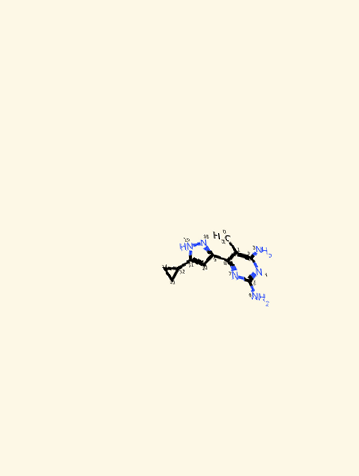 Cc1c(N)nc(N)nc1-c1cc(C2CC2)[nH]n1